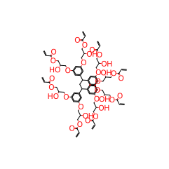 C=CC(=O)OCC(O)COc1cc(OCC(O)COC(=O)C=C)cc(C(CC(c2cc(OCC(O)COC(=O)C=C)cc(OCC(O)COC(=O)C=C)c2)c2cc(OCC(O)COC(=O)C=C)cc(OCC(O)COC(=O)C=C)c2)c2cc(OCC(O)COC(=O)C=C)cc(OCC(O)COC(=O)C=C)c2)c1